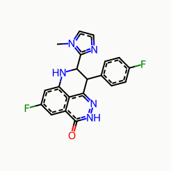 Cn1ccnc1C1Nc2cc(F)cc3c(=O)[nH]nc(c23)C1c1ccc(F)cc1